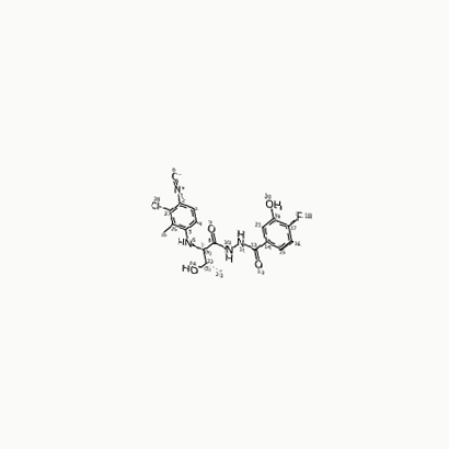 [C-]#[N+]c1ccc(N[C@@H](C(=O)NNC(=O)c2ccc(F)c(O)c2)[C@H](C)O)c(C)c1Cl